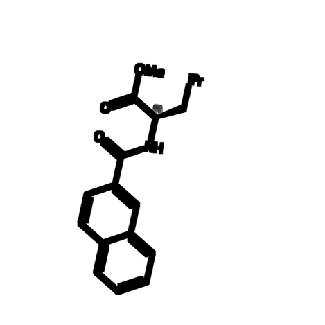 COC(=O)[C@@H](CC(C)C)NC(=O)c1ccc2ccccc2c1